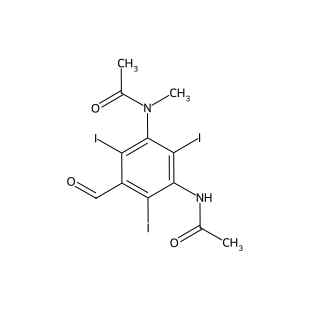 CC(=O)Nc1c(I)c(C=O)c(I)c(N(C)C(C)=O)c1I